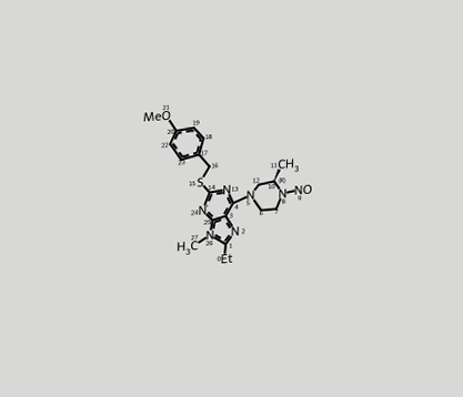 CCc1nc2c(N3CCN(N=O)[C@H](C)C3)nc(SCc3ccc(OC)cc3)nc2n1C